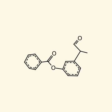 CC(C=O)c1cccc(OC(=O)c2ccccc2)c1